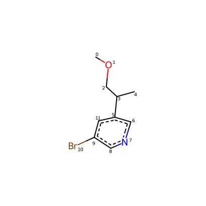 COCC(C)c1cncc(Br)c1